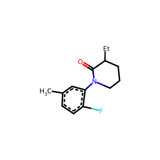 CCC1CCCN(c2cc(C)ccc2F)C1=O